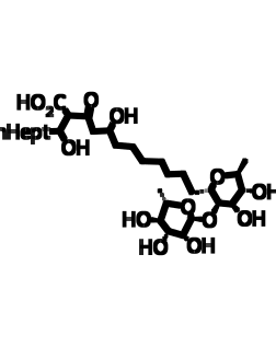 CCCCCCCC(O)C(C(=O)O)C(=O)CC(O)CCCCCCC[C@@H]1O[C@@H](C)[C@H](O)[C@@H](O)[C@H]1O[C@@H]1O[C@@H](C)[C@H](O)[C@@H](O)[C@H]1O